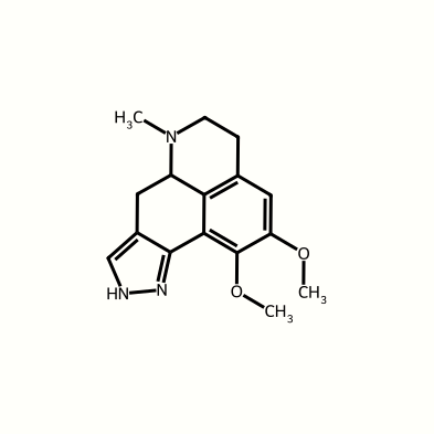 COc1cc2c3c(c1OC)-c1n[nH]cc1CC3N(C)CC2